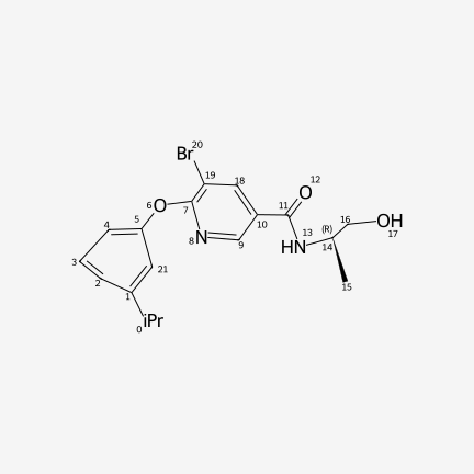 CC(C)c1cccc(Oc2ncc(C(=O)N[C@H](C)CO)cc2Br)c1